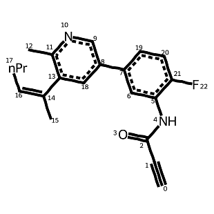 C#CC(=O)Nc1cc(-c2cnc(C)c(/C(C)=C\CCC)c2)ccc1F